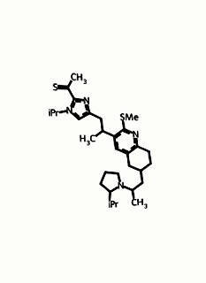 CSc1nc2c(cc1C(C)Cc1cn(C(C)C)c(C(C)=S)n1)CC(CC(C)N1CCCC1C(C)C)CC2